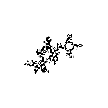 CSCC[C@H](NC(=O)[C@H](CC(C)C)NC(=O)[C@H](Cc1c[nH]cn1)NC(=O)CNC(=O)[C@@H](NC(=O)[C@H](C)NC(=O)[C@H](Cc1c[nH]c2ccccc12)NC(=O)[C@H](CCC(N)=O)N(C(=O)CNC(=O)CN1CCN(CC(=O)O)CCN(CC(=O)O)CCN(CC(=O)O)CC1)C(=O)C1CCNCC1)C(C)C)C(N)=O